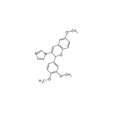 COc1ccc2c(c1)C=C(n1ccnc1)C(c1ccc(OC)c(OC)c1)O2